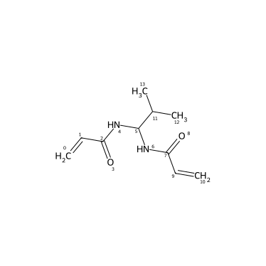 C=CC(=O)NC(NC(=O)C=C)C(C)C